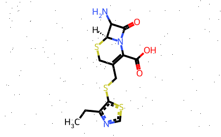 CCc1ncsc1SCC1=C(C(=O)O)N2C(=O)C(N)[C@@H]2SC1